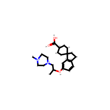 CC(CN1CCN(C)CC1)Oc1ccc2c(c1)C1(CC2)CCC(C(=O)O)CC1